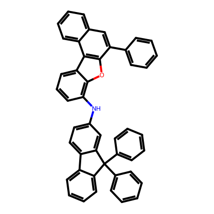 c1ccc(-c2cc3ccccc3c3c2oc2c(Nc4ccc5c(c4)C(c4ccccc4)(c4ccccc4)c4ccccc4-5)cccc23)cc1